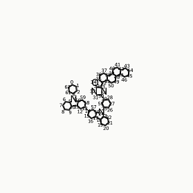 c1ccc(-n2c3ccccc3c3cc(-c4ccc5c6ccccc6n(-c6cccc(-c7cnc8oc9ccc%10c%11ccc%12ccccc%12c%11ccc%10c9c8n7)c6)c5c4)ccc32)cc1